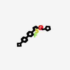 Fc1cc(-c2ccc(C3CCC3)cc2)ccc1-c1ccc(OCC2CCCC2)s1